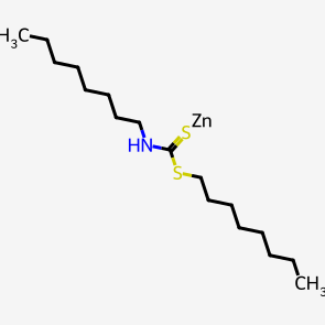 CCCCCCCCNC(=S)SCCCCCCCC.[Zn]